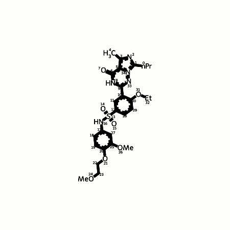 CCCc1nc(C)c2c(=O)[nH]c(-c3cc(S(=O)(=O)Nc4ccc(OCCOC)c(OC)c4)ccc3OCC)nn12